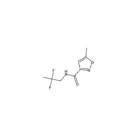 Cc1cc(C(=O)NCC(C)(F)F)no1